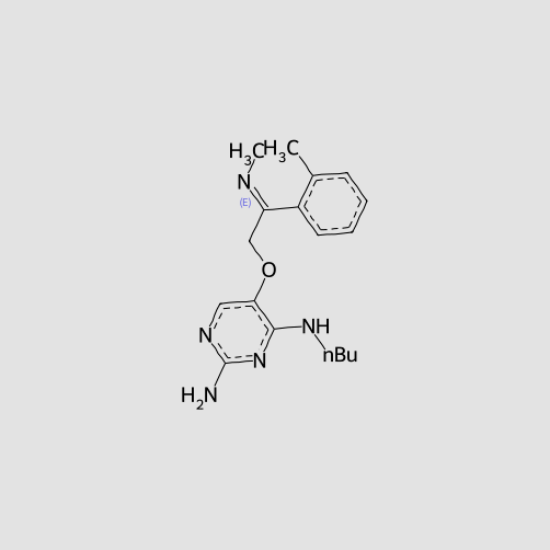 CCCCNc1nc(N)ncc1OC/C(=N/C)c1ccccc1C